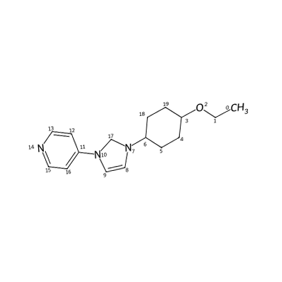 CCOC1CCC(N2C=CN(c3ccncc3)C2)CC1